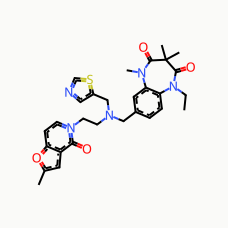 CCN1C(=O)C(C)(C)C(=O)N(C)c2cc(CN(CCn3ccc4oc(C)cc4c3=O)Cc3cncs3)ccc21